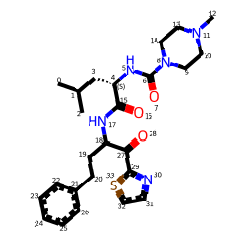 CC(C)C[C@H](NC(=O)N1CCN(C)CC1)C(=O)NC(CCc1ccccc1)C(=O)c1nccs1